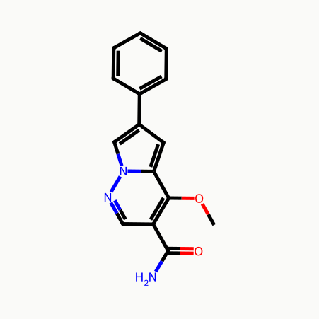 COc1c(C(N)=O)cnn2cc(-c3ccccc3)cc12